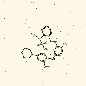 COc1cc(N2CCOCC2)ccc1Nc1ncc(C(F)(F)F)c(NCc2cccnc2N(C)S(C)(=O)=O)n1